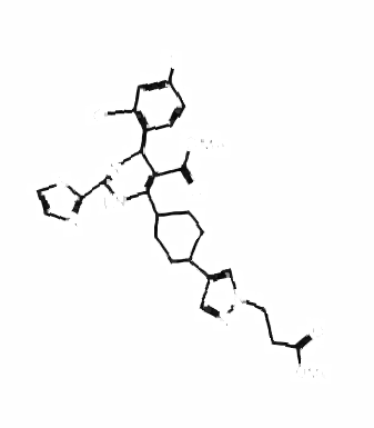 COC(=O)CCn1cc(C2CCC(C3=C(C(=O)OC)C(c4ccc(F)cc4Cl)N=C(c4nccs4)N3)CC2)cn1